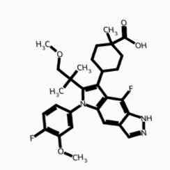 COCC(C)(C)c1c(C2CCC(C)(C(=O)O)CC2)c2c(F)c3[nH]ncc3cc2n1-c1ccc(F)c(OC)c1